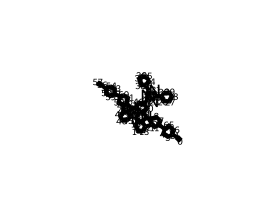 C#Cc1ccc(-c2ccc3c(c2)c2cccc4c2n3-c2cc(-c3nc(-c5ccccc5)nc(-c5ccccc5)n3)cc3c2B4c2cccc4c5cc(-c6ccc(C#C)cc6)ccc5n-3c24)cc1